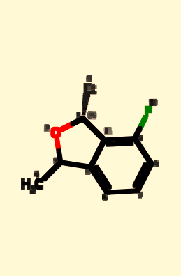 CC[C@H]1OC(C)c2cccc(F)c21